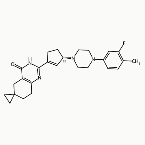 Cc1ccc(N2CCN([C@H]3C=C(c4nc5c(c(=O)[nH]4)CC4(CC5)CC4)CC3)CC2)cc1F